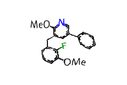 COc1cccc(Cc2cc(-c3ccccc3)cnc2OC)c1F